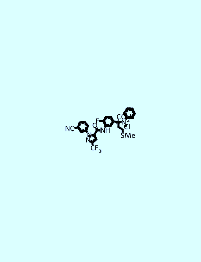 CSCC[C@@](C(=O)O)(c1ccc(F)c(NC(=O)c2cc(C(F)(F)F)nn2-c2cccc(C#N)c2)c1)N(Cl)c1ccccc1